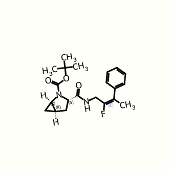 C/C(=C(\F)CNC(=O)[C@@H]1C[C@H]2C[C@H]2N1C(=O)OC(C)(C)C)c1ccccc1